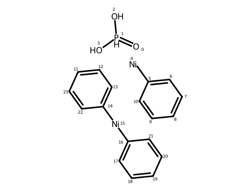 O=[PH](O)O.[Ni][c]1ccccc1.c1cc[c]([Ni][c]2ccccc2)cc1